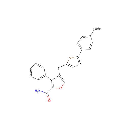 COc1ccc(-c2ccc(Cc3coc(C(N)=O)c3-c3ccccc3)s2)cc1